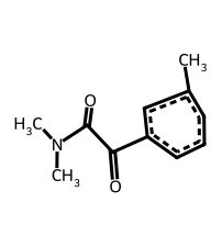 Cc1cccc(C(=O)C(=O)N(C)C)c1